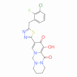 O=C1c2c(O)c(=O)c(-c3nnc(Cc4cccc(Cl)c4F)s3)cn2CN2CCCCN12